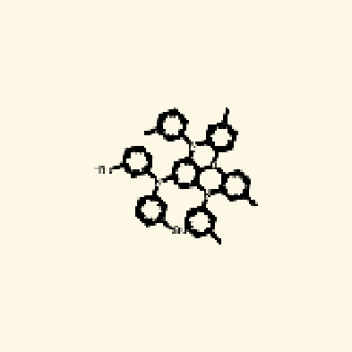 Cc1cccc(N2c3cc(C)ccc3B3c4ccc(C)cc4N(c4cccc(C)c4)c4cc(N(c5cccc(C(C)(C)C)c5)c5cccc(C(C)(C)C)c5)cc2c43)c1